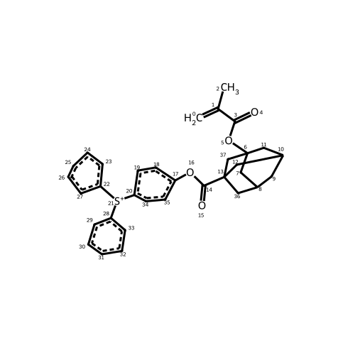 C=C(C)C(=O)OC12CC3CC(C1)CC(C(=O)Oc1ccc([S+](c4ccccc4)c4ccccc4)cc1)(C3)C2